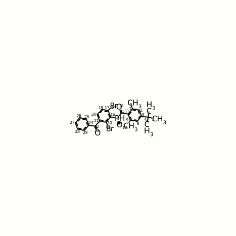 Cc1cc(C(C)(C)C)cc(C)c1C(=O)[PH](=O)c1c(Br)ccc(C(=O)c2ccccc2)c1Br